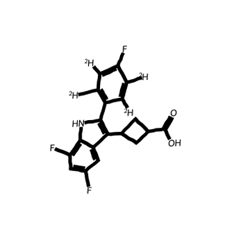 [2H]c1c([2H])c(-c2[nH]c3c(F)cc(F)cc3c2C2CC(C(=O)O)C2)c([2H])c([2H])c1F